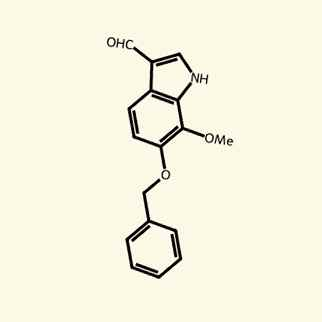 COc1c(OCc2ccccc2)ccc2c(C=O)c[nH]c12